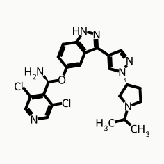 CC(C)N1CC[C@@H](n2cc(-c3n[nH]c4ccc(O[C@H](N)c5c(Cl)cncc5Cl)cc34)cn2)C1